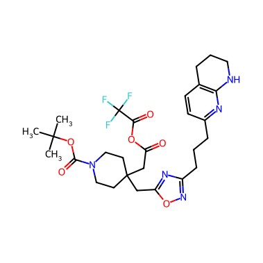 CC(C)(C)OC(=O)N1CCC(CC(=O)OC(=O)C(F)(F)F)(Cc2nc(CCCc3ccc4c(n3)NCCC4)no2)CC1